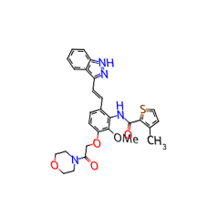 COc1c(OCC(=O)N2CCOCC2)ccc(/C=C/c2n[nH]c3ccccc23)c1NC(=O)c1sccc1C